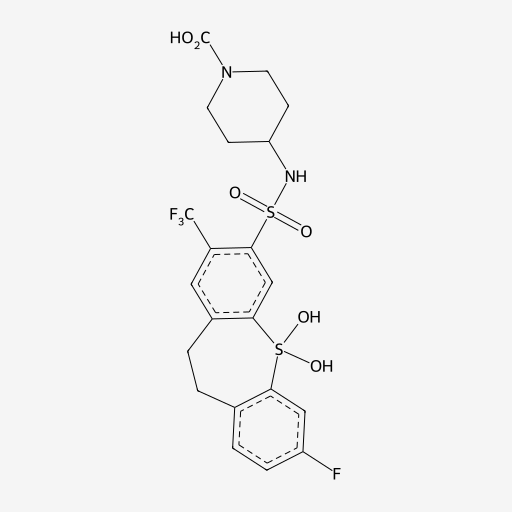 O=C(O)N1CCC(NS(=O)(=O)c2cc3c(cc2C(F)(F)F)CCc2ccc(F)cc2S3(O)O)CC1